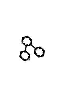 c1ccc(-c2cccnc2-c2cccnc2)cc1